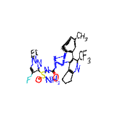 CCn1cc(F)c(S(N)(=O)=NC(=O)Nc2c3c(nc(C(F)(F)F)c2-c2cccc(C)c2)CCC3)n1